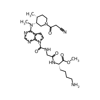 COC(=O)[C@H](CCCCN)NC(=O)CNC(=O)n1ccc2c(N(C)[C@H]3CN(C(=O)CC#N)CC[C@H]3C)ncnc21